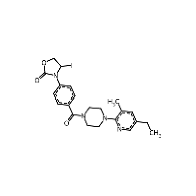 CCc1cnc(N2CCN(C(=O)c3ccc(N4C(=O)OCC4I)cc3)CC2)c(C)c1